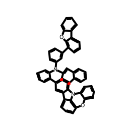 c1cc(-c2cccc3c2oc2ccccc23)cc(N(c2ccc3ccccc3c2)c2ccccc2-c2ccc3c(c2)c2cccc4c2n3-c2ccccc2O4)c1